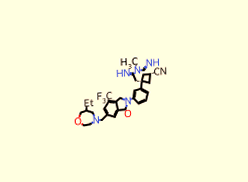 CCC1COCCN(Cc2cc3c(c(C(F)(F)F)c2)CN(c2cccc([C@]4(CC(=N)N(C)C=N)C[C@@H](C#N)C4)c2)C3=O)C1